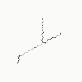 C=C/C=C\CCCCCCCCCC(OCCCCCCCC)OCCCCCCCC